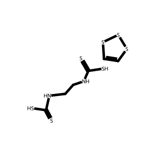 C1=CSSS1.S=C(S)NCCNC(=S)S